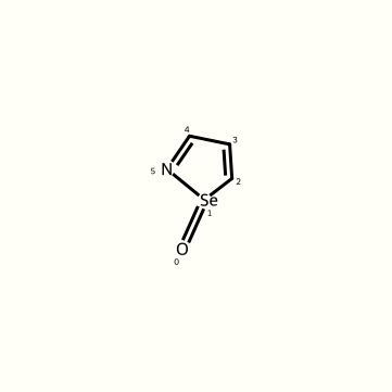 O=[Se]1C=CC=N1